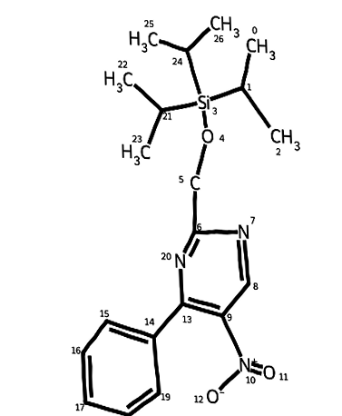 CC(C)[Si](OCc1ncc([N+](=O)[O-])c(-c2ccccc2)n1)(C(C)C)C(C)C